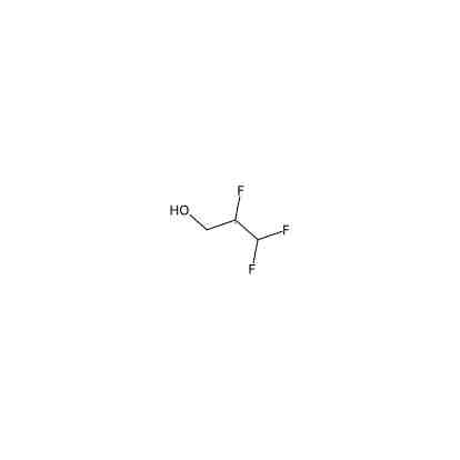 OC[C](F)C(F)F